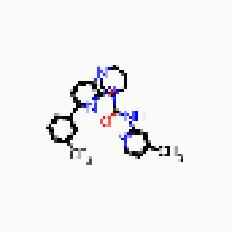 Cc1ccnc(NC(=O)N2c3nc(-c4cccc(C(F)(F)F)c4)ccc3N3CCC2CC3)c1